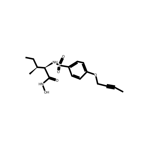 CC#CCOc1ccc(S(=O)(=O)N[C@@H](C(=O)NO)[C@@H](C)CC)cc1